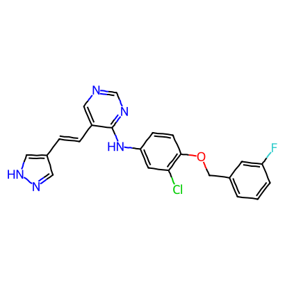 Fc1cccc(COc2ccc(Nc3ncncc3C=Cc3cn[nH]c3)cc2Cl)c1